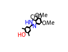 COc1cc2c(c(OC)c1)C(C=O)NC(c1cc(C)c(O)c(C)c1)=N2